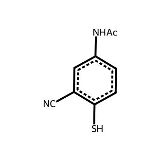 CC(=O)Nc1ccc(S)c(C#N)c1